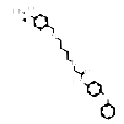 NS(=O)(=O)c1ccc(CNCCCCNCC(=O)Nc2ccc(Oc3ccccc3)cc2)cc1